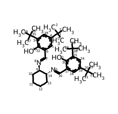 CC(C)(C)c1cc(/C=N/[C@@H]2CCCC[C@H]2/N=C/c2cc(C(C)(C)C)cc(C(C)(C)C)c2O)c(O)c(C(C)(C)C)c1